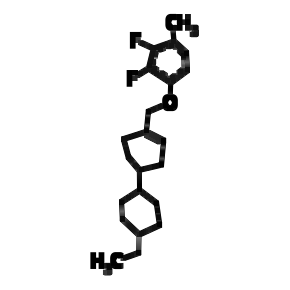 CCC1CCC(C2CC=C(COc3ccc(C)c(F)c3F)CC2)CC1